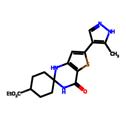 CCOC(=O)C1CCC2(CC1)NC(=O)c1sc(-c3cn[nH]c3C)cc1N2